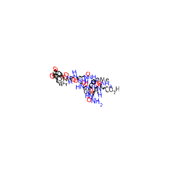 COc1ccc(C[C@H](NC(=O)[C@H](CC(=O)O)NC(=O)CNC(=O)[C@H](CCCNC(N)=O)NC(=O)CNC(=O)O[C@@H]2CC[C@]3(CO3)[C@@H]([C@@]3(C)O[C@@H]3CCC(C)C)[C@@H]2OC)C(=O)N[C@@H](CCCNC(N)=O)C(=O)N[C@@H](CCC(=O)O)C(N)=O)cc1